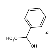 O=C(O)C(O)c1ccccc1.[Zr]